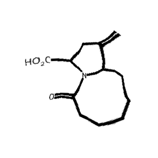 C=C1CC(C(=O)O)N2C(=O)CCCCCC12